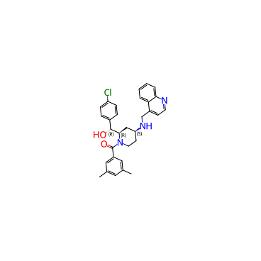 Cc1cc(C)cc(C(=O)N2CC[C@H](NCc3ccnc4ccccc34)C[C@@H]2[C@H](O)c2ccc(Cl)cc2)c1